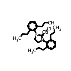 CCCc1cccc(CCC)c1N1CCN(c2c(CCC)cccc2CCC)[C]1=[Cu][Cl]